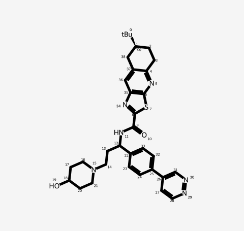 CC(C)(C)[C@H]1CCc2nc3sc(C(=O)NC(CCN4CCC(O)CC4)c4ccc(-c5ccnnc5)cc4)nc3cc2C1